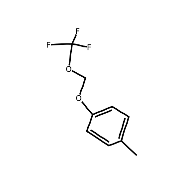 Cc1ccc(OCOC(F)(F)F)cc1